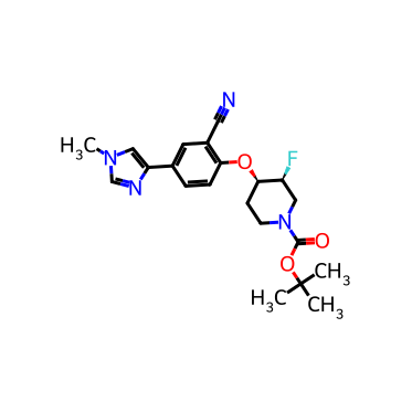 Cn1cnc(-c2ccc(O[C@@H]3CCN(C(=O)OC(C)(C)C)C[C@@H]3F)c(C#N)c2)c1